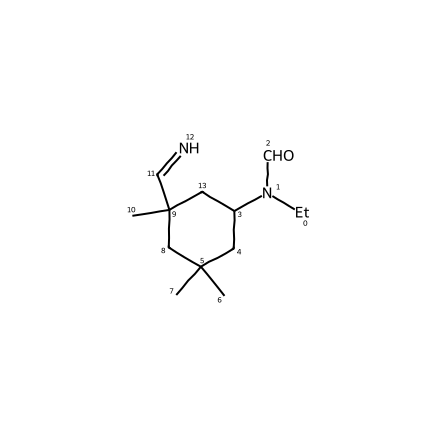 CCN(C=O)C1CC(C)(C)CC(C)(C=N)C1